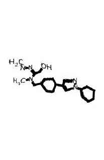 C=N/N=C(/CO)N(C)CC1CCC(c2cnn(C3CCCCC3)c2)CC1